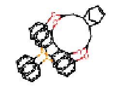 C1=CC2CC1C1CC3Oc4ccc(P(c5ccccc5)c5ccccc5)c(c4O3)-c3c(P(c4ccccc4)c4ccccc4)ccc4c3OC(CC21)O4